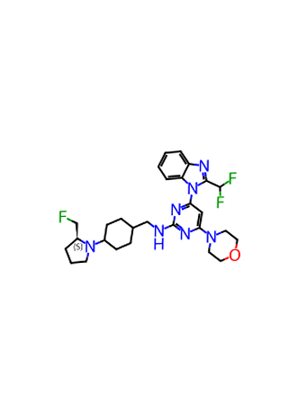 FC[C@@H]1CCCN1C1CCC(CNc2nc(N3CCOCC3)cc(-n3c(C(F)F)nc4ccccc43)n2)CC1